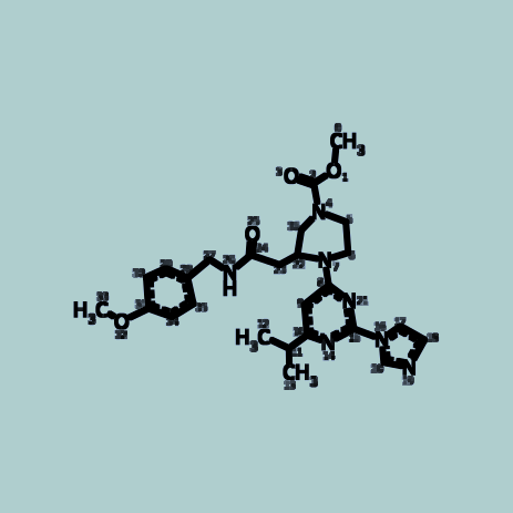 COC(=O)N1CCN(c2cc(C(C)C)nc(-n3ccnc3)n2)C(CC(=O)NCc2ccc(OC)cc2)C1